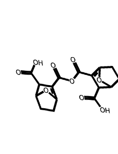 O=C(OC(=O)C1=C2CCC(O2)C1C(=O)O)C1=C2CCC(O2)C1C(=O)O